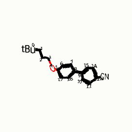 CC(C)(C)CCCOc1ccc(-c2ccc(C#N)cc2)cc1